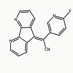 N#CC(=C1c2cccnc2-c2ncccc21)c1ccc(F)nc1